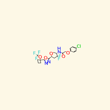 O=C(COc1ccc(Cl)cc1)N[C@H]1CO[C@H](c2nnc(C3(OC(F)(F)F)CCC3)o2)CC1(F)F